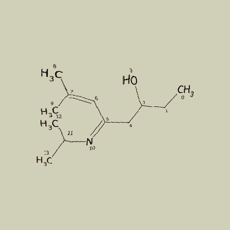 CCC(O)C/C(C=C(C)C)=N/C(C)C